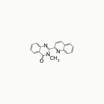 Cn1c(-c2ccc3ccccc3n2)nc2ccccc2c1=O